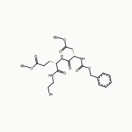 CC(C)CCNC(=O)[C@H](CCC(=O)OC(C)(C)C)NC(=O)[C@H](CC(=O)OC(C)(C)C)NC(=O)OCc1ccccc1